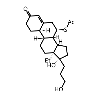 CC[C@]12CC[C@H]3[C@@H]([C@H](SC(C)=O)CC4=CC(=O)CC[C@@H]43)[C@@H]1CC[C@@]2(O)CCCO